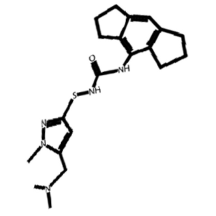 CN(C)Cc1cc(SNC(=O)Nc2c3c(cc4c2CCC4)CCC3)nn1C